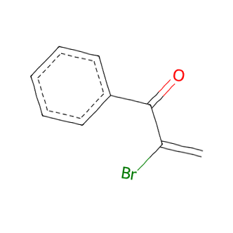 C=C(Br)C(=O)c1ccccc1